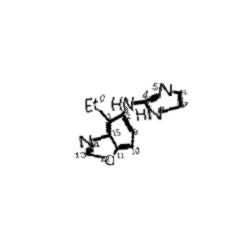 CCc1c(NC2=NCCN2)ccc2ocnc12